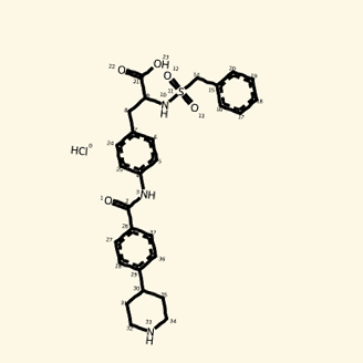 Cl.O=C(Nc1ccc(CC(NS(=O)(=O)Cc2ccccc2)C(=O)O)cc1)c1ccc(C2CCNCC2)cc1